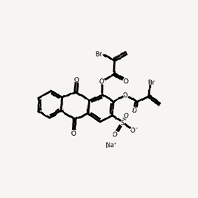 C=C(Br)C(=O)Oc1c(S(=O)(=O)[O-])cc2c(c1OC(=O)C(=C)Br)C(=O)c1ccccc1C2=O.[Na+]